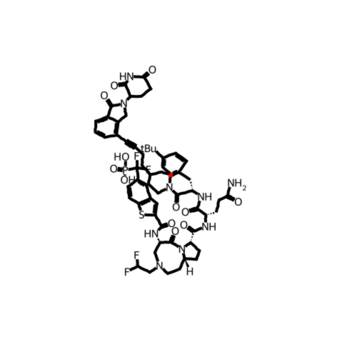 CC(C)(C)c1ccc(C[C@H](NC(=O)[C@H](CCC(N)=O)NC(=O)[C@@H]2CC[C@@H]3CCN(CC(F)F)C[C@H](NC(=O)c4cc5cc(C(F)(F)P(=O)(O)O)ccc5s4)C(=O)N32)C(=O)N2CCC(CCC#Cc3cccc4c3CN(C3CCC(=O)NC3=O)C4=O)CC2)cc1